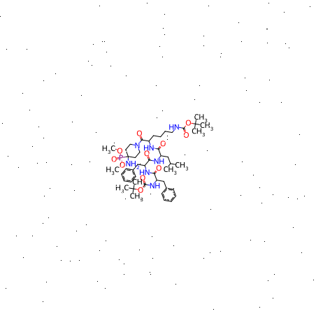 COP(=O)(OC)C1(N)CCN(C(=O)C(CCCCNC(=O)OC(C)(C)C)NC(=O)C(CC(C)C)NC(=O)C(Cc2ccccc2)NC(=O)C(Cc2ccccc2)NC(=O)OC(C)(C)C)CC1